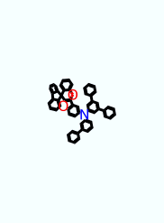 c1ccc(-c2cccc(N(c3cc(-c4ccccc4)cc(-c4ccccc4)c3)c3ccc4oc5c(c4c3)Oc3ccccc3C53c4ccccc4-c4ccccc43)c2)cc1